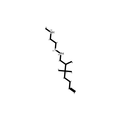 C=CCCC(C)(C)C(C)CPSCCNC